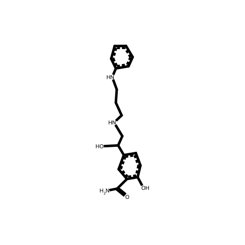 NC(=O)c1cc(C(O)CNCCCNc2ccccc2)ccc1O